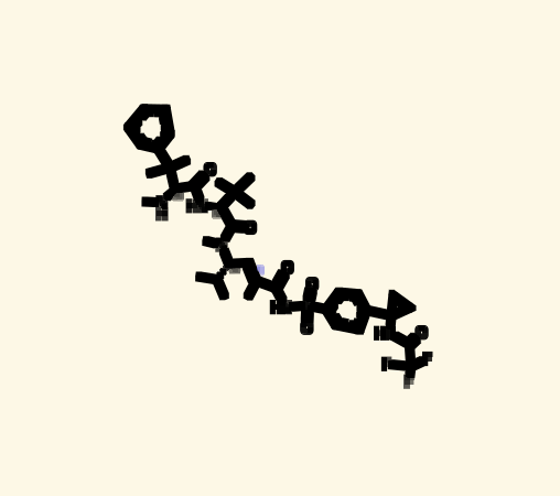 CN[C@H](C(=O)N[C@H](C(=O)N(C)[C@H](/C=C(\C)C(=O)NS(=O)(=O)c1ccc(C2(NC(=O)C(F)(F)F)CC2)cc1)C(C)C)C(C)(C)C)C(C)(C)c1ccccc1